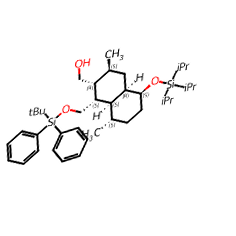 CC(C)[Si](O[C@H]1CC[C@H](C)[C@H]2[C@H](CO[Si](c3ccccc3)(c3ccccc3)C(C)(C)C)[C@H](CO)[C@@H](C)C[C@H]21)(C(C)C)C(C)C